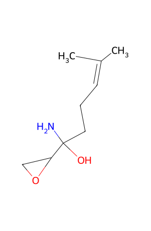 CC(C)=CCCC(N)(O)C1CO1